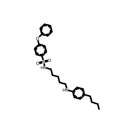 CCCCc1ccc(NCCCCCNS(=O)(=O)c2ccc(Oc3ccccc3)cc2)cc1